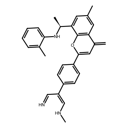 C=C1C=C(c2ccc(/C(C=N)=C/NC)cc2)Oc2c1cc(C)cc2[C@H](C)Nc1ccccc1C